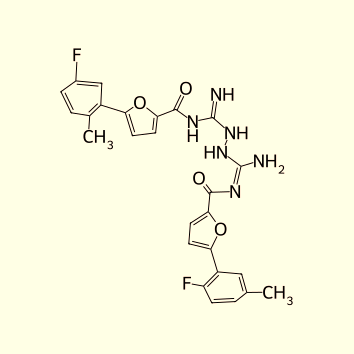 Cc1ccc(F)c(-c2ccc(C(=O)N=C(N)NNC(=N)NC(=O)c3ccc(-c4cc(F)ccc4C)o3)o2)c1